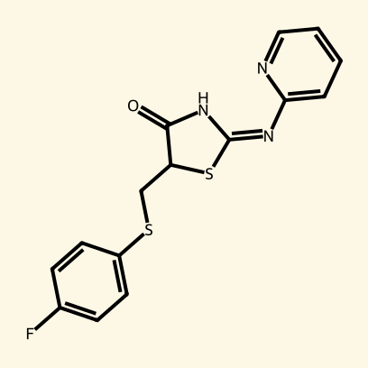 O=C1N/C(=N\c2ccccn2)SC1CSc1ccc(F)cc1